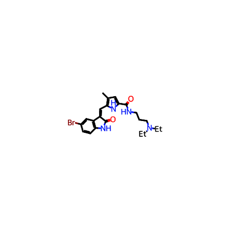 CCN(CC)CCCNC(=O)c1cc(C)c(/C=C2\C(=O)Nc3ccc(Br)cc32)[nH]1